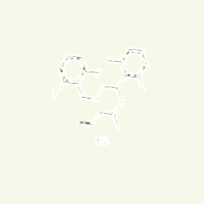 C=CCN(C)CC(COCc1c(F)cccc1F)c1c(C)cccc1C.Cl